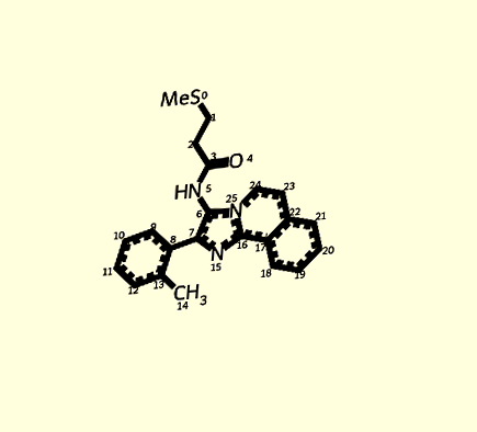 CSCCC(=O)Nc1c(-c2ccccc2C)nc2c3ccccc3ccn12